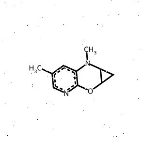 Cc1cnc2c(c1)N(C)C1CC1O2